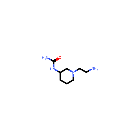 NCCN1CCCC(NC(N)=O)C1